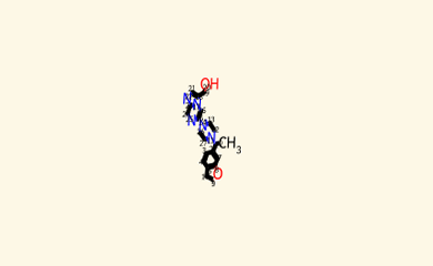 CC(c1ccc2c(c1)OCC2)N1CCN(c2cn3c(CO)cnc3cn2)CC1